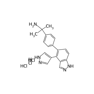 CC(C)(N)c1ccc(-c2ccc3[nH]ncc3c2-c2cn[nH]c2)cc1.Cl.Cl.Cl